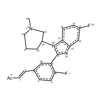 CC(=O)/C=C/c1ccc(F)c(-c2nc3cc(F)ccc3n2C2CCCN(C)C2)c1